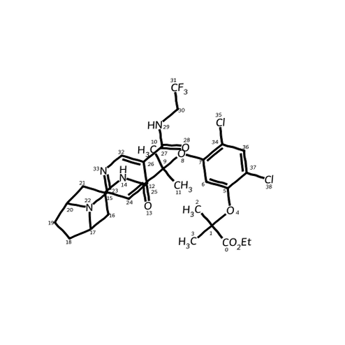 CCOC(=O)C(C)(C)Oc1cc(OC(C)(C)C(=O)NC2CC3CCC(C2)N3c2ccc(C(=O)NCC(F)(F)F)cn2)c(Cl)cc1Cl